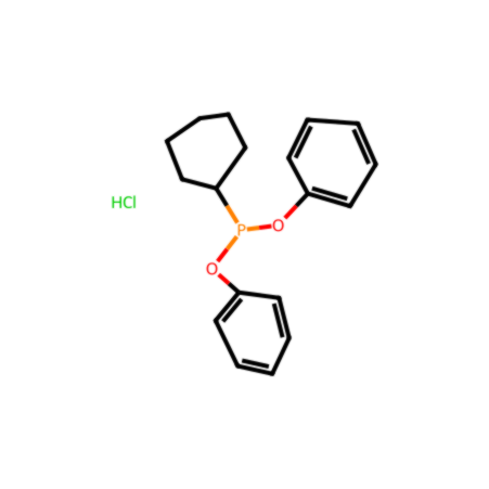 Cl.c1ccc(OP(Oc2ccccc2)C2CCCCC2)cc1